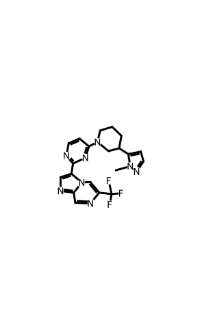 Cn1nccc1C1CCCN(c2ccnc(-c3cnc4cnc(C(F)(F)F)cn34)n2)C1